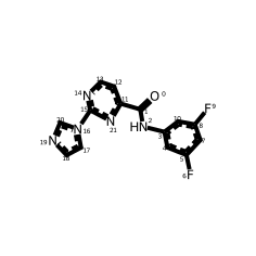 O=C(Nc1cc(F)cc(F)c1)c1ccnc(-n2ccnc2)n1